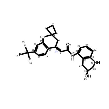 O=C(/C=C1\CC2(CCC2)Oc2cc(C(F)(F)F)ccc21)Nc1cccc2c1CC(O)CN2